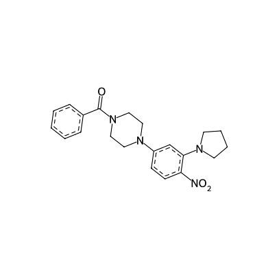 O=C(c1ccccc1)N1CCN(c2ccc([N+](=O)[O-])c(N3CCCC3)c2)CC1